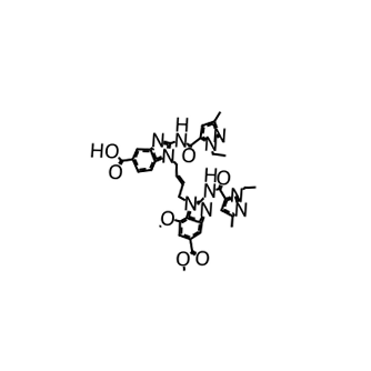 CCn1nc(C)cc1C(=O)Nc1nc2cc(C(=O)O)ccc2n1CC=CCn1c(NC(=O)c2cc(C)nn2CC)nc2cc(C(=O)OC)cc(OC)c21